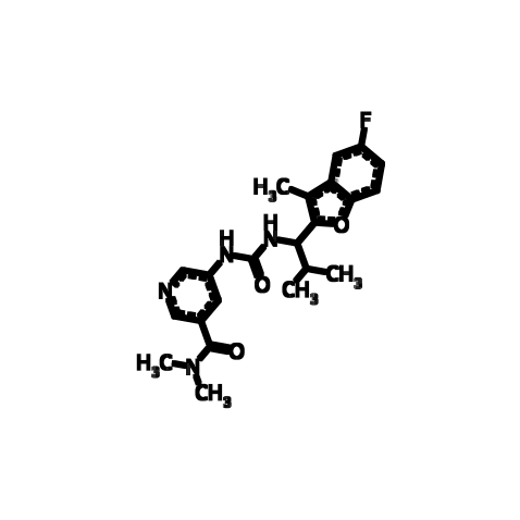 Cc1c(C(NC(=O)Nc2cncc(C(=O)N(C)C)c2)C(C)C)oc2ccc(F)cc12